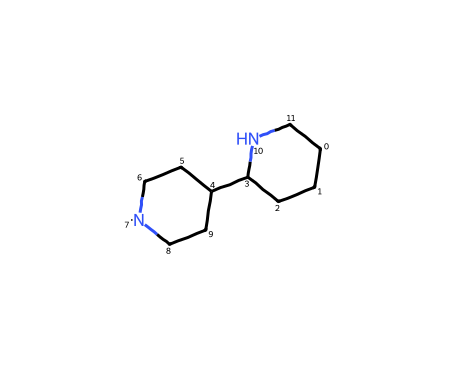 C1CCC(C2CC[N]CC2)NC1